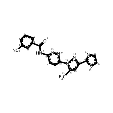 N#Cc1cccc(C(=O)Nc2ccc(-n3nc(-c4nccs4)cc3C(F)(F)F)nn2)c1